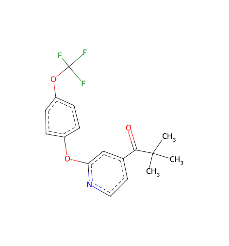 CC(C)(C)C(=O)c1ccnc(Oc2ccc(OC(F)(F)F)cc2)c1